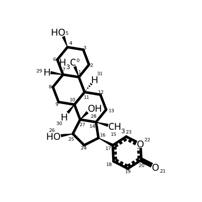 C[C@]12CC[C@H](O)C[C@H]1CC[C@@H]1[C@@H]2CC[C@]2(C)[C@@H](c3ccc(=O)oc3)C[C@@H](O)[C@]12O